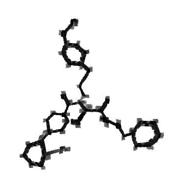 CCOc1ccc(CCC[C@@H](C(=O)N2CCN(c3ccccc3F)CC2)[C@H](O)C(=O)NOCc2ccccc2)cc1